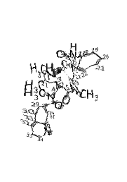 CC(C)C[C@@H](C(=O)N(C)[C@H](C#N)C[C@@]1(C)C(=O)Nc2ccccc21)N(C)C(=O)c1ccc2cccnc2c1